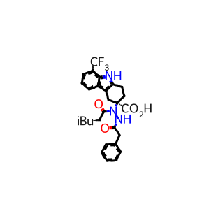 CC[C@H](C)CC(=O)N(NC(=O)Cc1ccccc1)[C@]1(C(=O)O)CCc2[nH]c3c(C(F)(F)F)cccc3c2C1